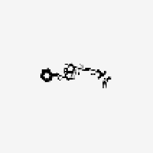 C[SiH](C)C(C)(C)COCCO[C@H]1CO[C@H]2[C@@H]1OC[C@H]2OCc1ccccc1